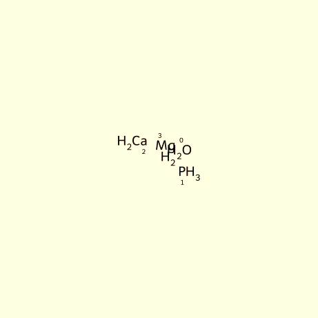 O.P.[CaH2].[MgH2]